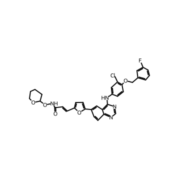 O=C(C=Cc1ccc(-c2ccc3ncnc(Nc4ccc(OCc5cccc(F)c5)c(Cl)c4)c3c2)o1)NOC1CCCCO1